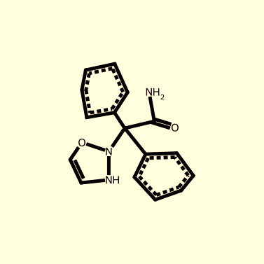 NC(=O)C(c1ccccc1)(c1ccccc1)N1NC=CO1